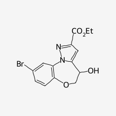 CCOC(=O)c1cc2n(n1)-c1cc(Br)ccc1OCC2O